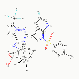 Cc1ccc(S(=O)(=O)n2cc(-c3nc(N[C@@H]4[C@@H](C(=O)O)[C@H]5CC[C@@H]4C4CC45)c4ccc(C(F)(F)F)n4n3)c3cc(F)cnc32)cc1